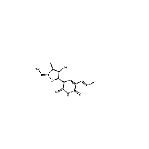 O=c1[nH]c(=O)n([C@H]2O[C@@H](CO)C(I)C2O)cc1C=CI